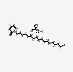 C=C1C=CC=CN1CCCCCCCCCCCCCCCCCC.CC(=O)O